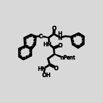 CCCCC[C@@H](CC(=O)NO)C(=O)N[C@@H](Cc1ccc2ccccc2c1)C(=O)NCc1ccccc1